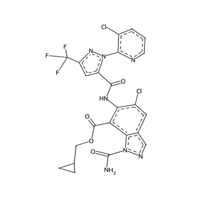 NC(=O)n1ncc2cc(Cl)c(NC(=O)c3cc(C(F)(F)F)nn3-c3ncccc3Cl)c(C(=O)OCC3CC3)c21